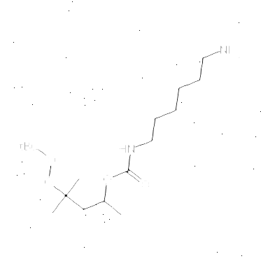 CC(CC(C)(C)OOC(C)(C)C)OC(=O)NCCCCCCN